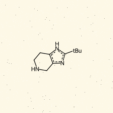 CC(C)(C)c1nc2c([nH]1)CCNC2